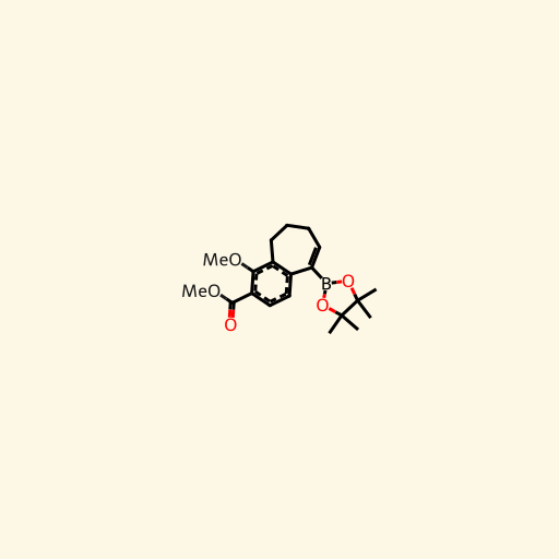 COC(=O)c1ccc2c(c1OC)CCCC=C2B1OC(C)(C)C(C)(C)O1